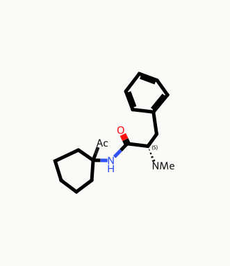 CN[C@@H](Cc1ccccc1)C(=O)NC1(C(C)=O)CCCCC1